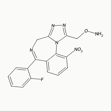 NOCc1nnc2n1-c1c(cccc1[N+](=O)[O-])C(c1ccccc1F)=NC2